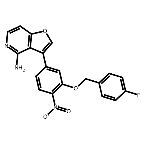 Nc1nccc2occ(-c3ccc([N+](=O)[O-])c(OCc4ccc(F)cc4)c3)c12